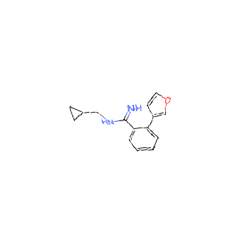 N=C(NCC1CC1)c1ccccc1-c1ccoc1